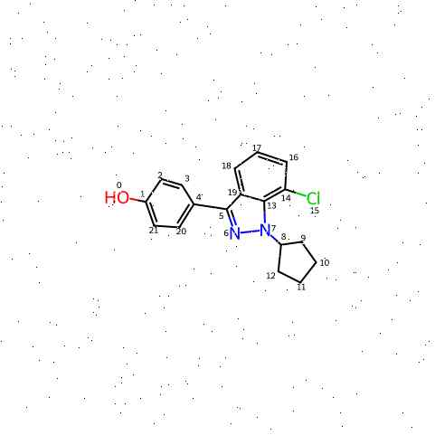 Oc1ccc(-c2nn(C3CCCC3)c3c(Cl)cccc23)cc1